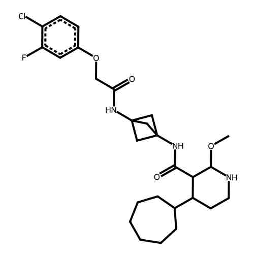 COC1NCCC(C2CCCCCC2)C1C(=O)NC12CC(NC(=O)COc3ccc(Cl)c(F)c3)(C1)C2